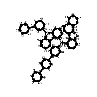 c1ccc(-c2ccc(-c3ccc(N(c4cccc5sc6c7ccccc7ccc6c45)c4cccc5c4c4ccccc4n5-c4cccc(-c5ccccc5)c4)cc3)cc2)cc1